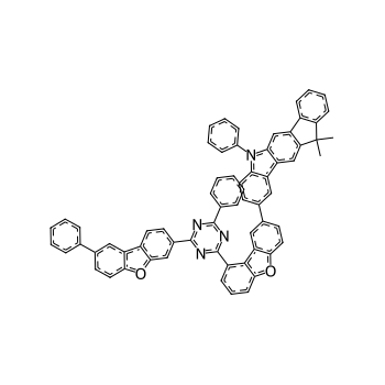 CC1(C)c2ccccc2-c2cc3c(cc21)c1cc(-c2ccc4oc5cccc(-c6nc(-c7ccccc7)nc(-c7ccc8c(c7)oc7ccc(-c9ccccc9)cc78)n6)c5c4c2)ccc1n3-c1ccccc1